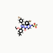 CCOc1cc(C(C)(C)C)ccc1C1=N[C@@H](c2ccc(Br)cc2)[C@@H](c2ccc(Br)cc2)N1C(=O)N1CCN(CCS(C)(=O)=O)CC1